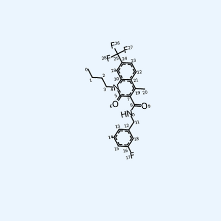 CCCCn1c(=O)c(C(=O)NCc2cccc(F)c2)c(C)c2ccc(C(F)(F)F)cc21